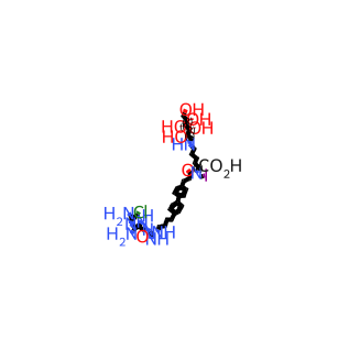 N=C(NCCCCc1ccc(-c2ccc(CCC(=O)N(CI)[C@H](CCCCNC[C@H](O)[C@@H](O)[C@H](O)[C@H](O)CO)C(=O)O)cc2)cc1)NC(=O)c1nc(Cl)c(N)nc1N